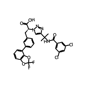 CC(C)(NC(=O)c1cc(Cl)cc(Cl)c1)c1cn([C@@H](Cc2cccc(-c3cccc4c3OC(F)(F)O4)c2)C(=O)O)nn1